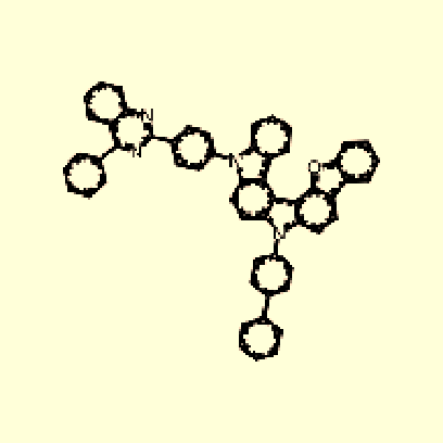 c1ccc(-c2ccc(-n3c4ccc5c6ccccc6oc5c4c4c5c6ccccc6n(-c6ccc(-c7nc(-c8ccccc8)c8ccccc8n7)cc6)c5ccc43)cc2)cc1